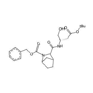 CC(C)(C)OC(=O)C[C@@H](CO)NC(=O)C1C2CCC(C2)N1C(=O)OCc1ccccc1